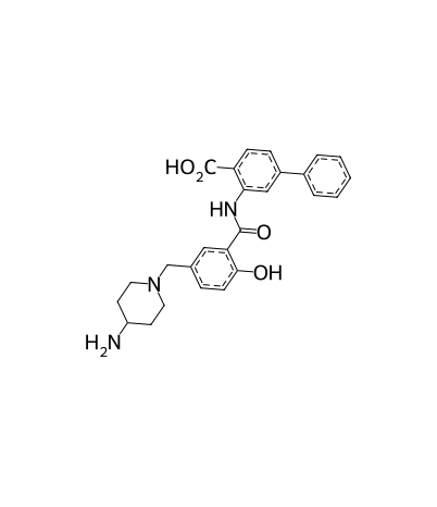 NC1CCN(Cc2ccc(O)c(C(=O)Nc3cc(-c4ccccc4)ccc3C(=O)O)c2)CC1